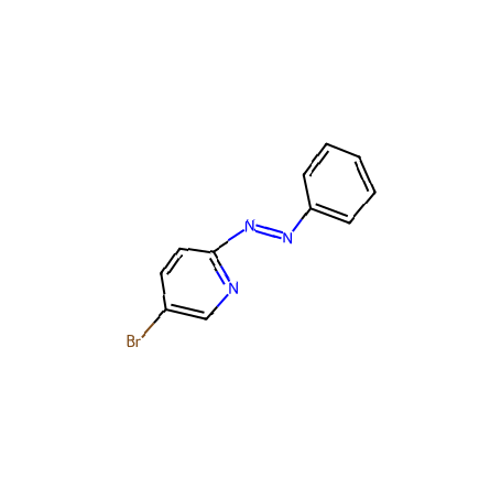 Brc1ccc(N=Nc2ccccc2)nc1